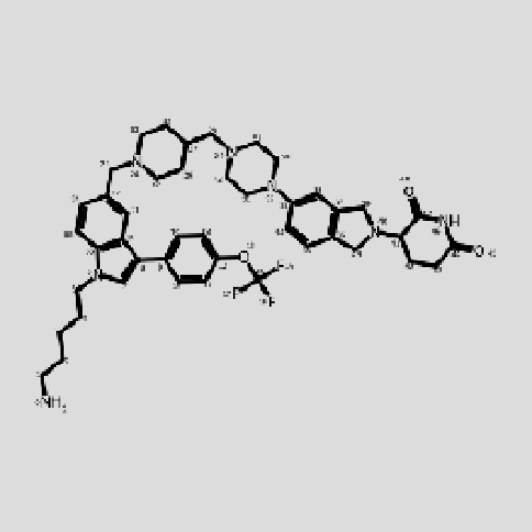 NCCCCCn1cc(-c2ccc(OC(F)(F)F)cc2)c2cc(CN3CCC(CN4CCN(c5ccc6c(c5)CN(C5CCC(=O)NC5=O)C6)CC4)CC3)ccc21